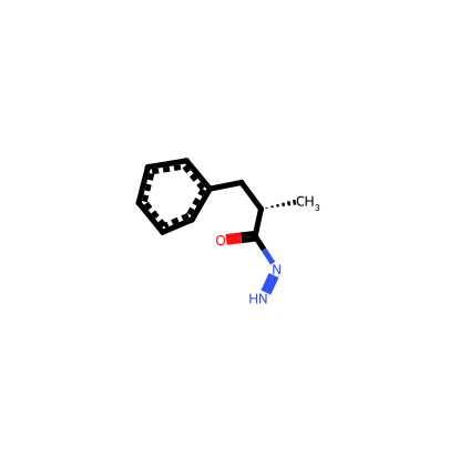 C[C@@H](Cc1ccccc1)C(=O)N=N